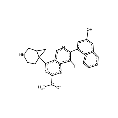 C[S+]([O-])c1nc(C23CCNCC2C3)c2cnc(-c3cc(O)cc4ccccc34)c(F)c2n1